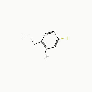 CCc1ccc(S)cc1C